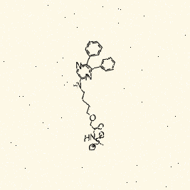 CN(CCCCOCC(=O)NS(C)(=O)=O)c1cnc(-c2ccccc2)c(-c2ccccc2)n1